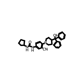 N#Cc1cc(NC(=O)NC2CCCC2)ccc1N1CCC(C(O)(c2ccccc2)c2ccccc2)CC1